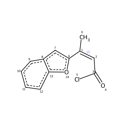 C/C(=C/C(=O)Cl)c1cc2ccccc2o1